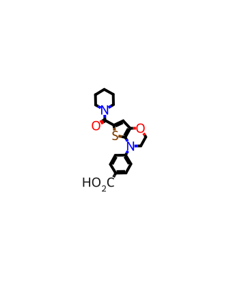 O=C(O)c1ccc(N2CCOc3cc(C(=O)N4CCCCC4)sc32)cc1